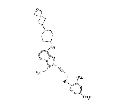 COc1cc(C(=O)O)ccc1NCC#Cc1cc2c(NC3CCC(N4CC5(COC5)C4)CC3)cccc2n1CC(F)(F)F